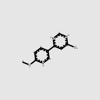 COc1ccc(-c2cc(Cl)ncn2)cn1